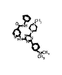 CN1CCN(c2nc(Nc3cc(C(=O)Nc4ccccc4)ccn3)nc(-c3ccc(N(C)C)cc3)n2)CC1